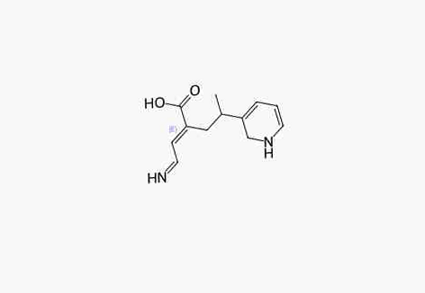 CC(C/C(=C\C=N)C(=O)O)C1=CC=CNC1